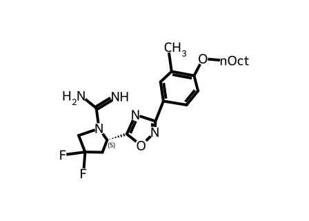 CCCCCCCCOc1ccc(-c2noc([C@@H]3CC(F)(F)CN3C(=N)N)n2)cc1C